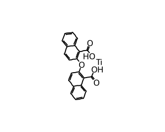 O=C(O)c1c(Oc2ccc3ccccc3c2C(=O)O)ccc2ccccc12.[Ti]